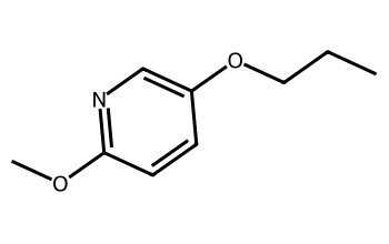 CCCOc1ccc(OC)nc1